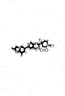 CCN1CCC(F)(/C(=N/c2cnc(-c3cc(F)c4nc(C)cn4c3)cc2C)NC=O)CC1